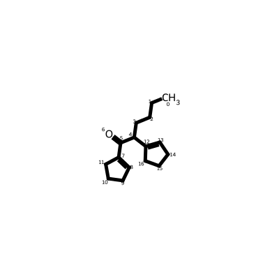 CCCCC(C(=O)C1=CCCC1)C1=CCCC1